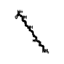 [NH]C(=O)NCCCNCCCCNCCCN